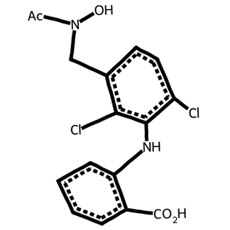 CC(=O)N(O)Cc1ccc(Cl)c(Nc2ccccc2C(=O)O)c1Cl